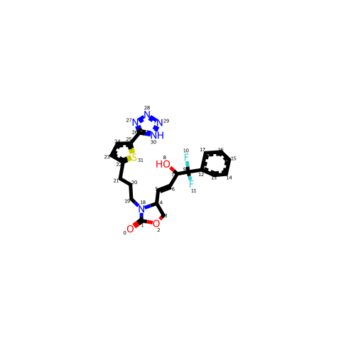 O=C1OCC(/C=C/C(O)C(F)(F)c2ccccc2)N1CCCc1ccc(-c2nnn[nH]2)s1